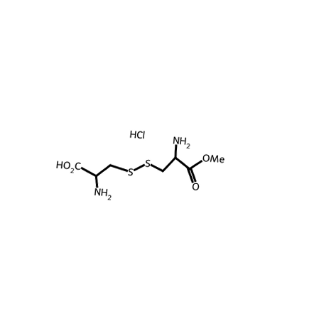 COC(=O)C(N)CSSCC(N)C(=O)O.Cl